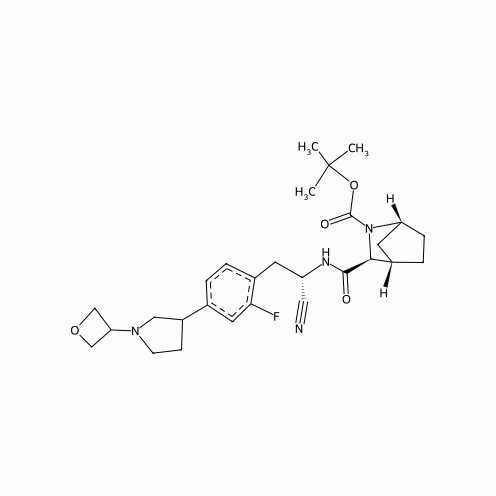 CC(C)(C)OC(=O)N1[C@@H]2CC[C@@H](C2)[C@H]1C(=O)N[C@H](C#N)Cc1ccc(C2CCN(C3COC3)C2)cc1F